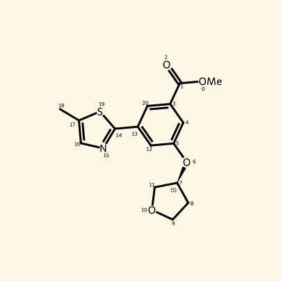 COC(=O)c1cc(O[C@H]2CCOC2)cc(-c2ncc(C)s2)c1